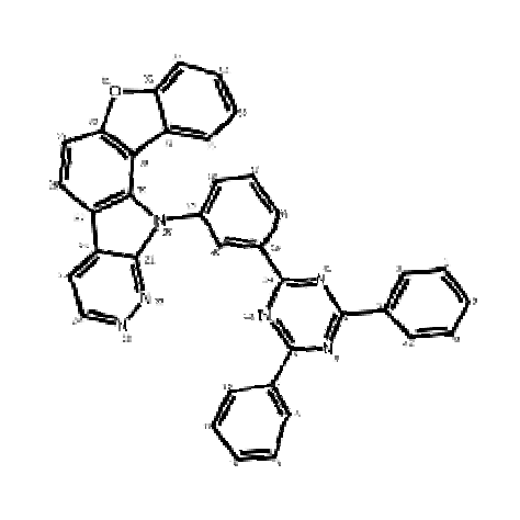 c1ccc(-c2nc(-c3ccccc3)nc(-c3cccc(-n4c5nnccc5c5ccc6oc7ccccc7c6c54)c3)n2)cc1